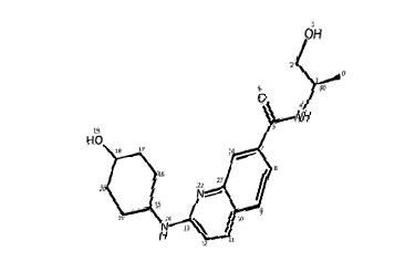 C[C@H](CO)NC(=O)c1ccc2ccc(NC3CCC(O)CC3)nc2c1